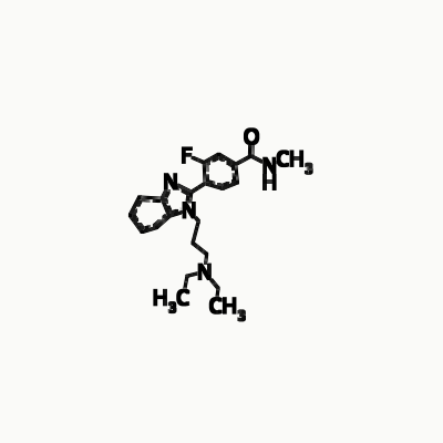 CCN(CC)CCCn1c(-c2ccc(C(=O)NC)cc2F)nc2ccccc21